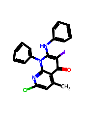 Cc1cc(Cl)nc2c1c(=O)c(I)c(Nc1ccccc1)n2-c1ccccc1